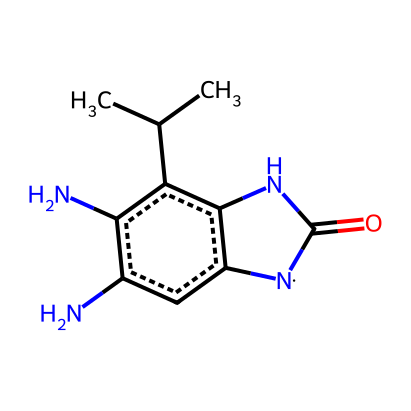 CC(C)c1c(N)c(N)cc2c1NC(=O)[N]2